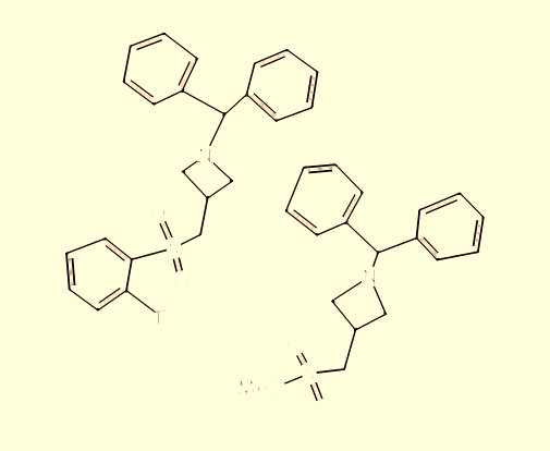 COS(=O)(=O)CC1CN(C(c2ccccc2)c2ccccc2)C1.O=S(=O)(CC1CN(C(c2ccccc2)c2ccccc2)C1)c1ccccc1F